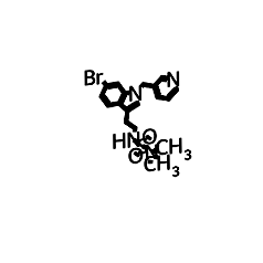 CN(C)S(=O)(=O)NCCc1cn(Cc2cccnc2)c2cc(Br)ccc12